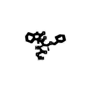 C[C@@H](OCc1ccccc1)[C@H](NC(=O)OC(C)(C)C)C(=O)[N+]1(C)C(=O)Sc2ccccc21